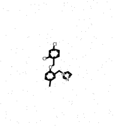 Cc1ccc(OCc2ccc(Cl)cc2Cl)c(Cn2ccnc2)c1